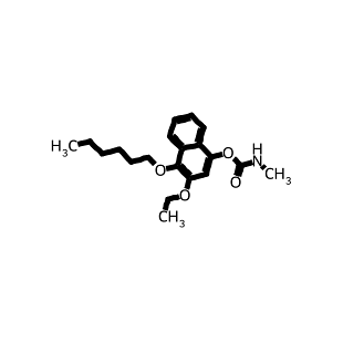 CCCCCCOc1c(OCC)cc(OC(=O)NC)c2ccccc12